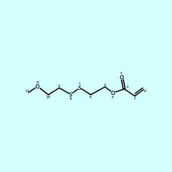 C=CC(=O)OCCSSCCOC